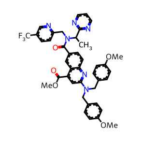 COC(=O)c1cc(N(Cc2ccc(OC)cc2)Cc2ccc(OC)cc2)nc2ccc(C(=O)N(Cc3ccc(C(F)(F)F)cn3)C(C)c3ncccn3)cc12